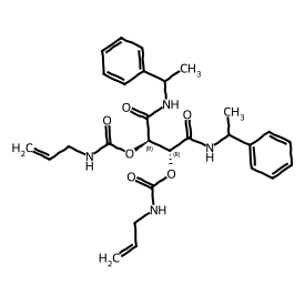 C=CCNC(=O)O[C@@H](C(=O)NC(C)c1ccccc1)[C@@H](OC(=O)NCC=C)C(=O)NC(C)c1ccccc1